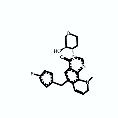 CN1CC=Cc2c(Cc3ccc(F)cc3)cc3c(=O)n([C@H]4CCOC[C@@H]4O)cnc3c21